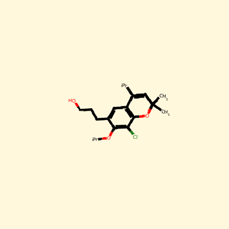 CC(C)Oc1c(CCCO)cc2c(c1Cl)OC(C)(C)C=C2C(C)C